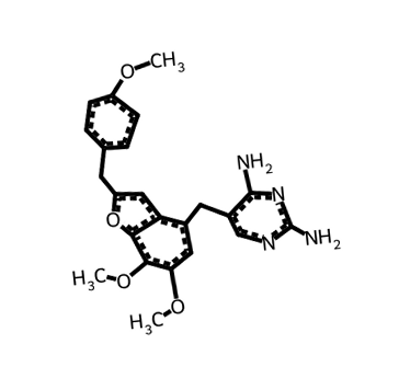 COc1ccc(Cc2cc3c(Cc4cnc(N)nc4N)cc(OC)c(OC)c3o2)cc1